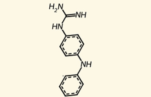 N=C(N)Nc1ccc(Nc2[c]cccc2)cc1